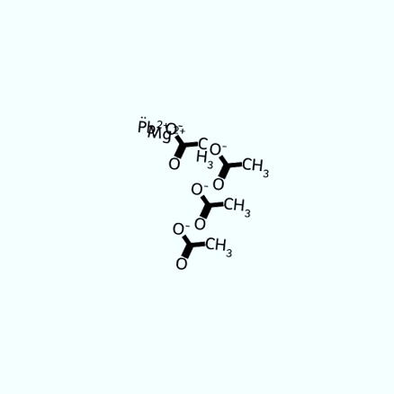 CC(=O)[O-].CC(=O)[O-].CC(=O)[O-].CC(=O)[O-].[Mg+2].[Pb+2]